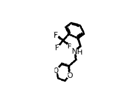 FC(F)(F)c1ccccc1CNCC1COCCO1